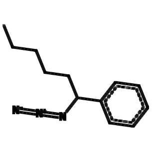 CCCCCC(N=[N+]=[N-])c1ccccc1